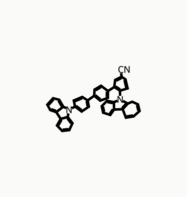 N#Cc1ccc(-n2c3c(c4ccccc42)C=CC=CC3)c(-c2ccc(-c3ccc(-n4c5ccccc5c5ccccc54)cc3)cc2)c1